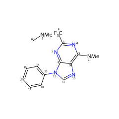 CNC.CNc1nc(C(F)(F)F)nc2c1ncn2-c1ccccc1